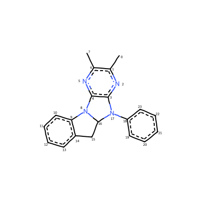 Cc1nc2c(nc1C)N1c3ccccc3CC1N2c1ccccc1